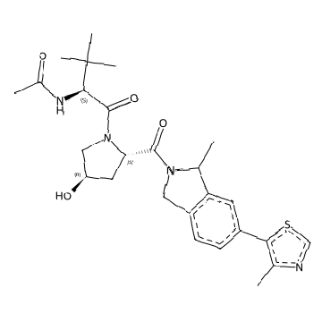 CC(=O)N[C@H](C(=O)N1C[C@H](O)C[C@H]1C(=O)N1Cc2ccc(-c3scnc3C)cc2C1C)C(C)(C)C